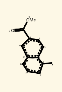 COC(=O)c1ccc2c(C)cccc2c1